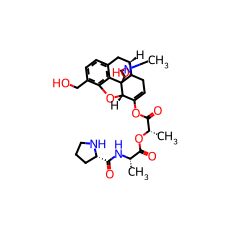 C[C@H](NC(=O)[C@@H]1CCCN1)C(=O)O[C@@H](C)C(=O)OC1=CC[C@@]2(O)[C@H]3Cc4ccc(CO)c5c4[C@@]2(CCN3C)[C@H]1O5